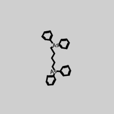 c1ccc([As](CCCCC[As](c2ccccc2)c2ccccc2)c2ccccc2)cc1